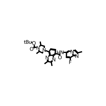 Cc1cn2cc(NC(=O)c3ccc(N4CC(C)N(C(=O)OC(C)(C)C)C(C)C4)c4nc(C)c(C)nc34)cc(F)c2n1